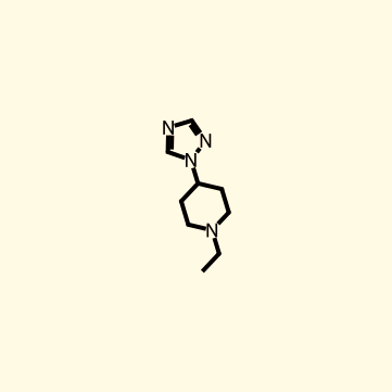 CCN1CCC(n2cncn2)CC1